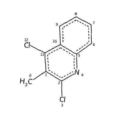 Cc1c(Cl)nc2ccccc2c1Cl